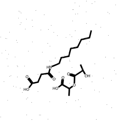 CC(O)C(=O)OC(C)C(=O)O.CCCCCCCCNC(=O)CCC(=O)O